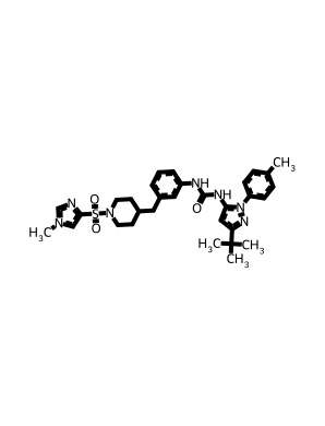 Cc1ccc(-n2nc(C(C)(C)C)cc2NC(=O)Nc2cccc(CC3CCN(S(=O)(=O)c4cn(C)cn4)CC3)c2)cc1